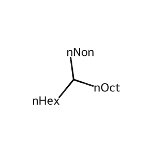 [CH2]CCCCCC(CCCCCCCC)CCCCCCCCC